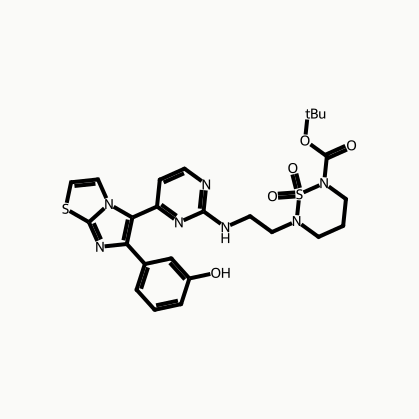 CC(C)(C)OC(=O)N1CCCN(CCNc2nccc(-c3c(-c4cccc(O)c4)nc4sccn34)n2)S1(=O)=O